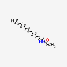 C=CC(=O)NCCCCCCCCCCCCCCC